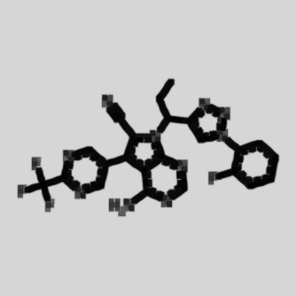 CCC(c1cn(-c2ccccc2F)nn1)n1c(C#N)c(-c2cnc(C(F)(F)F)nc2)c2c(N)ncnc21